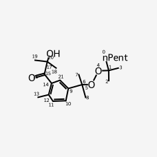 CCCCCC(C)(C)OOC(C)(C)c1ccc(C)c(C(=O)C(C)(C)O)c1